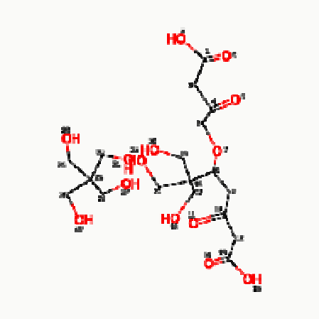 O=C(O)CC(=O)COC(CC(=O)CC(=O)O)C(CO)(CO)CO.OCC(CO)(CO)CO